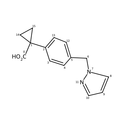 O=C(O)C1(c2ccc(Cn3cccn3)cc2)CC1